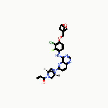 C=CC(=O)N1C[C@@H]2C[C@H]1CN2c1ccc2ncnc(Nc3ccc(OCC45COC(C4)C5)c(Cl)c3F)c2n1